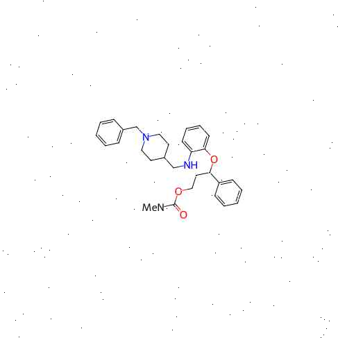 CNC(=O)OCCC(Oc1ccccc1NCC1CCN(Cc2ccccc2)CC1)c1ccccc1